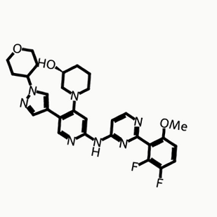 COc1ccc(F)c(F)c1-c1nccc(Nc2cc(N3CCC[C@H](O)C3)c(-c3cnn(C4CCOCC4)c3)cn2)n1